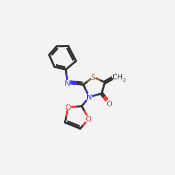 C=C1SC(=Nc2ccccc2)N(C2OC=CO2)C1=O